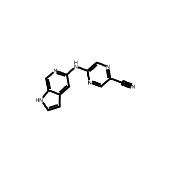 N#Cc1cnc(Nc2cc3cc[nH]c3cn2)cn1